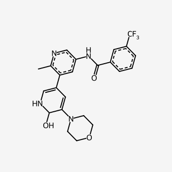 Cc1ncc(NC(=O)c2cccc(C(F)(F)F)c2)cc1C1=CNC(O)C(N2CCOCC2)=C1